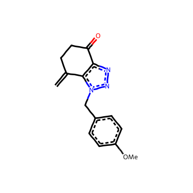 C=C1CCC(=O)c2nnn(Cc3ccc(OC)cc3)c21